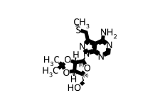 CSCc1nn([C@@H]2O[C@H](CO)[C@H]3OC(C)(C)O[C@H]32)c2ncnc(N)c12